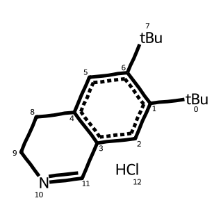 CC(C)(C)c1cc2c(cc1C(C)(C)C)CCN=C2.Cl